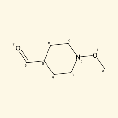 CON1CCC(C=O)CC1